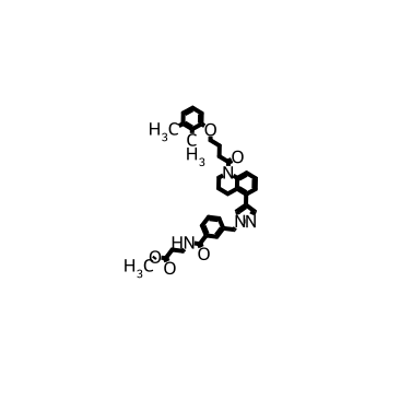 COC(=O)CCNC(=O)c1cccc(Cn2cc(-c3cccc4c3CCCN4C(=O)CCCOc3cccc(C)c3C)cn2)c1